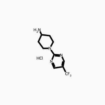 Cl.NC1CCN(c2ncc(C(F)(F)F)cn2)CC1